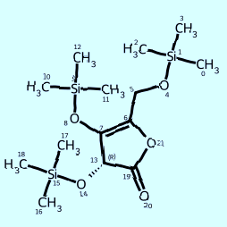 C[Si](C)(C)OCC1=C(O[Si](C)(C)C)[C@@H](O[Si](C)(C)C)C(=O)O1